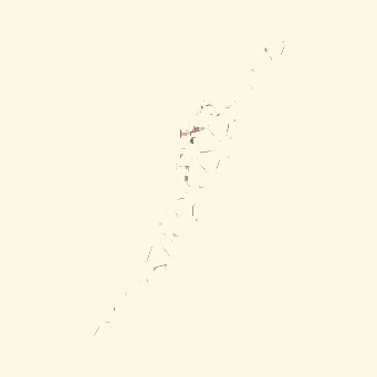 C=CC(=O)OCCCCOc1ccc(C(=O)Oc2ccc(C(=O)Oc3ccc(-c4ccc(OCCCCOC(=O)C=C)c(C(F)(F)F)c4C(F)(F)F)c(C(F)(F)F)c3C(F)(F)F)cc2)cc1